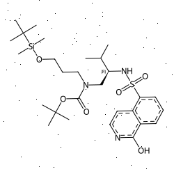 CC(C)[C@H](CN(CCCO[Si](C)(C)C(C)(C)C)C(=O)OC(C)(C)C)NS(=O)(=O)c1cccc2c(O)nccc12